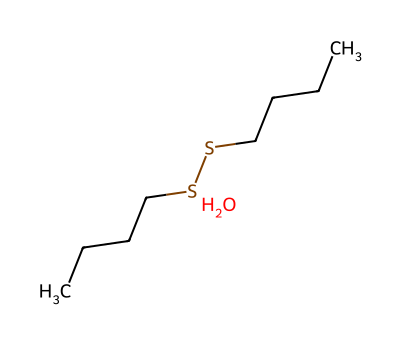 CCCCSSCCCC.O